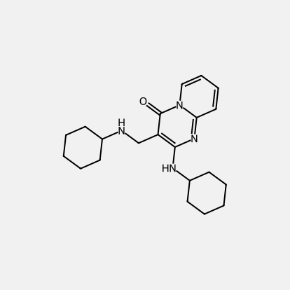 O=c1c(CNC2CCCCC2)c(NC2CCCCC2)nc2ccccn12